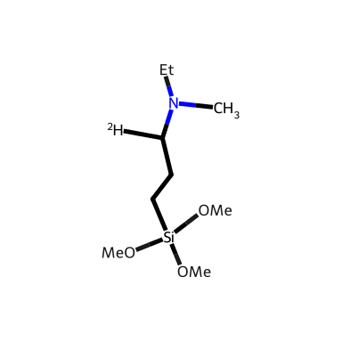 [2H]C(CC[Si](OC)(OC)OC)N(C)CC